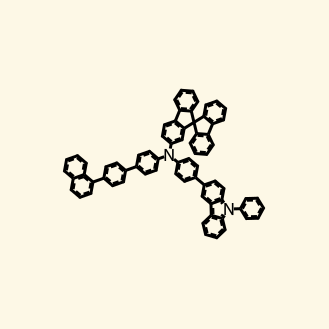 c1ccc(-n2c3ccccc3c3cc(-c4ccc(N(c5ccc(-c6ccc(-c7cccc8ccccc78)cc6)cc5)c5ccc6c(c5)C5(c7ccccc7-c7ccccc75)c5ccccc5-6)cc4)ccc32)cc1